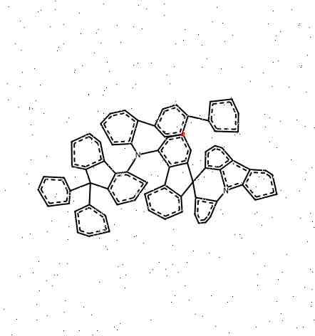 c1ccc(-c2ccc(-c3ccccc3N(c3cccc4c3-c3ccccc3C4(c3ccccc3)c3ccccc3)c3cccc4c3-c3ccccc3C43c4ccccc4-n4c5ccccc5c5cccc3c54)cc2)cc1